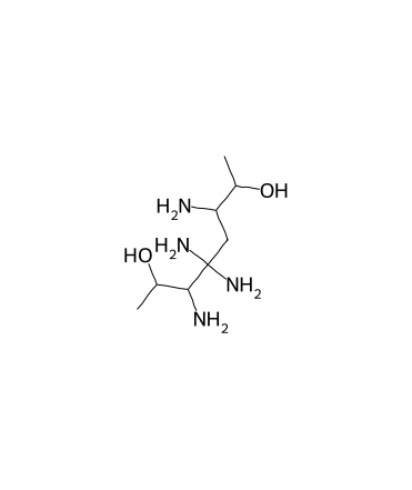 CC(O)C(N)CC(N)(N)C(N)C(C)O